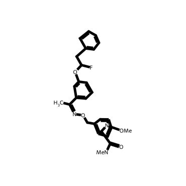 CNC(=O)C1c2ccc(cc2CON=C(C)c2cccc(OC(F)Cc3ccccc3)c2)N1OC